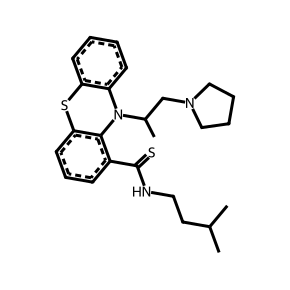 CC(C)CCNC(=S)c1cccc2c1N(C(C)CN1CCCC1)c1ccccc1S2